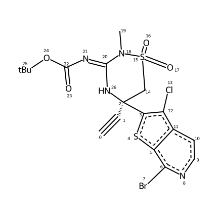 C#C[C@@]1(c2sc3c(Br)nccc3c2Cl)CS(=O)(=O)N(C)/C(=N/C(=O)OC(C)(C)C)N1